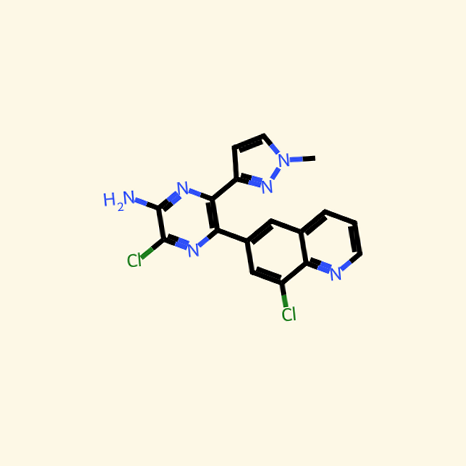 Cn1ccc(-c2nc(N)c(Cl)nc2-c2cc(Cl)c3ncccc3c2)n1